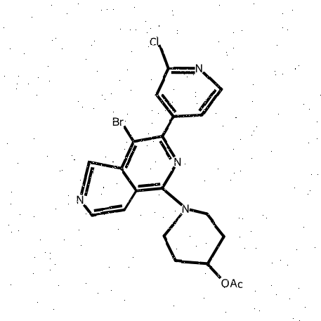 CC(=O)OC1CCN(c2nc(-c3ccnc(Cl)c3)c(Br)c3cnccc23)CC1